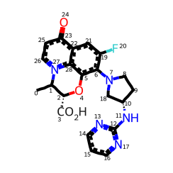 CC1[C@@H](C(=O)O)Oc2c(N3CC[C@H](Nc4ncccn4)C3)c(F)cc3c(=O)ccn1c23